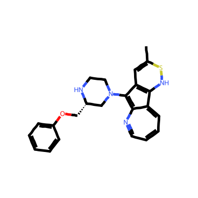 CC1=Cc2c(c3ccccnc-3c2N2CCN[C@@H](COc3ccccc3)C2)NS1